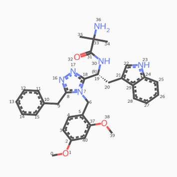 COc1ccc(Cn2c(Cc3ccccc3)nnc2[C@@H](Cc2c[nH]c3ccccc23)NC(=O)C(C)(C)N)c(OC)c1